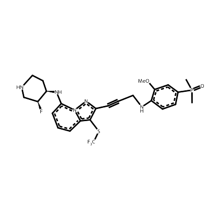 COc1cc(P(C)(C)=O)ccc1NCC#Cc1nn2c(N[C@@H]3CCNC[C@@H]3F)cccc2c1SC(F)(F)F